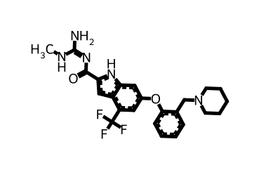 CNC(N)=NC(=O)c1cc2c(C(F)(F)F)cc(Oc3ccccc3CN3CCCCC3)cc2[nH]1